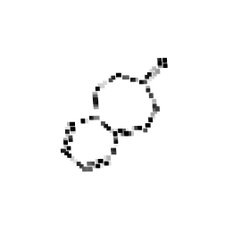 O=C1CCC2C=CC=CC2=CN1